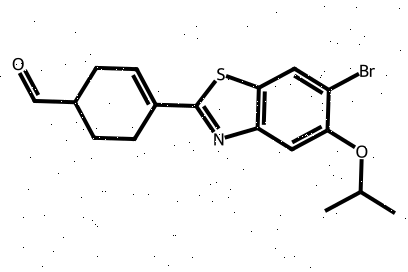 CC(C)Oc1cc2nc(C3=CCC(C=O)CC3)sc2cc1Br